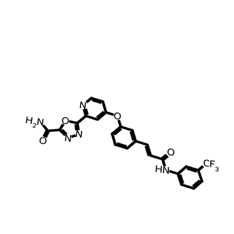 NC(=O)c1nnc(-c2cc(Oc3cccc(C=CC(=O)Nc4cccc(C(F)(F)F)c4)c3)ccn2)o1